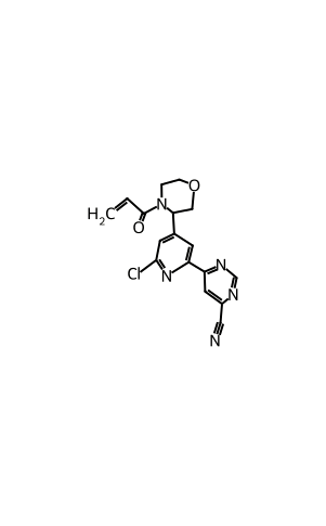 C=CC(=O)N1CCOCC1c1cc(Cl)nc(-c2cc(C#N)ncn2)c1